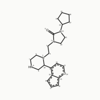 O=C1N(CCN2CCNCC2c2ccoc3cccc2-3)CCN1C1CCCC1